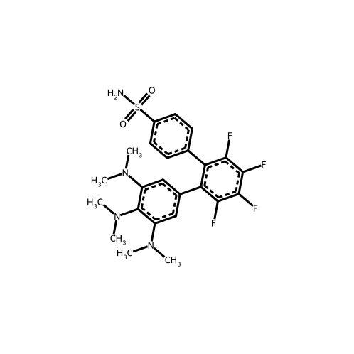 CN(C)c1cc(-c2c(F)c(F)c(F)c(F)c2-c2ccc(S(N)(=O)=O)cc2)cc(N(C)C)c1N(C)C